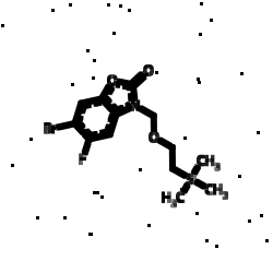 C[Si](C)(C)CCOCn1c(=O)oc2cc(Br)c(F)cc21